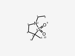 CCN1CCC(C)(C)S1(=O)=O